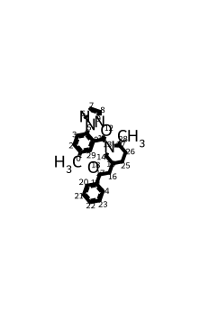 Cc1ccc(-n2nccn2)c(C(=O)N2CC(CC(=O)c3ccccc3)CCC2C)c1